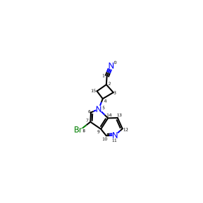 N#CC1CC(n2cc(Br)c3cnccc32)C1